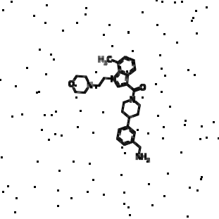 Cc1cccc2c(C(=O)N3CCC(c4cccc(CN)c4)CC3)cn(CCN3CCOCC3)c12